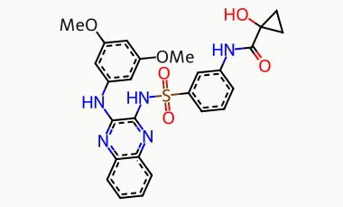 COc1cc(Nc2nc3ccccc3nc2NS(=O)(=O)c2cccc(NC(=O)C3(O)CC3)c2)cc(OC)c1